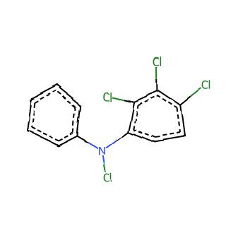 Clc1ccc(N(Cl)c2ccccc2)c(Cl)c1Cl